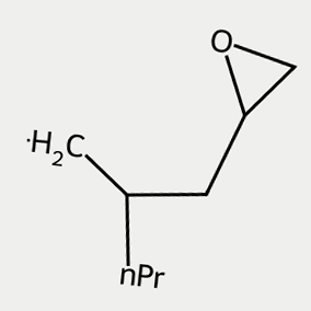 [CH2]C(CCC)CC1CO1